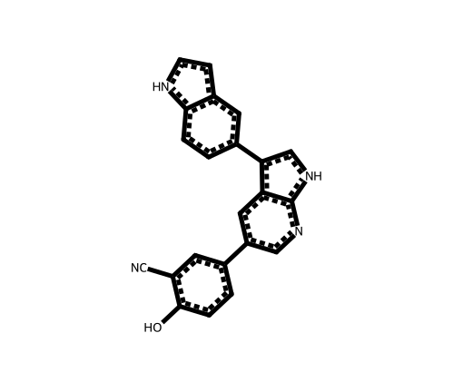 N#Cc1cc(-c2cnc3[nH]cc(-c4ccc5[nH]ccc5c4)c3c2)ccc1O